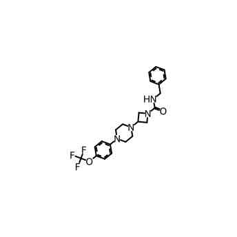 O=C(NCc1ccccc1)N1CC(N2CCN(c3ccc(OC(F)(F)F)cc3)CC2)C1